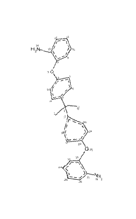 [CH]C(C)(c1ccc(Oc2ccccc2N)cc1)c1ccc(Oc2ccccc2N)cc1